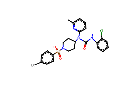 CCc1ccc(S(=O)(=O)N2CCC(N(C(=O)Nc3ccccc3Cl)c3cccc(C)n3)CC2)cc1